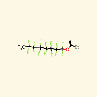 C=C(CC)OC(F)(F)C(F)(F)C(F)(F)C(F)(F)C(F)(F)C(F)(F)C(F)(F)C(F)(F)F